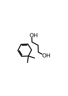 CC1(C)C=CC=CC1.OCCCO